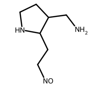 NCC1CCNC1CCN=O